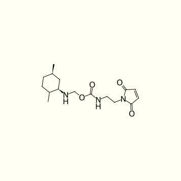 CC1CC[C@@H](C)C[C@H]1NCOC(=O)NCCN1C(=O)C=CC1=O